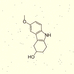 COc1ccc2[nH]c3c(c2c1)CC(O)CC3